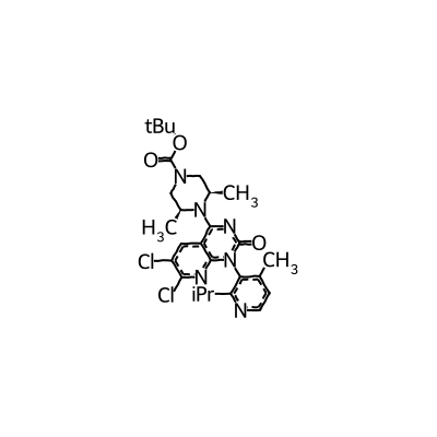 Cc1ccnc(C(C)C)c1-n1c(=O)nc(N2[C@H](C)CN(C(=O)OC(C)(C)C)C[C@@H]2C)c2cc(Cl)c(Cl)nc21